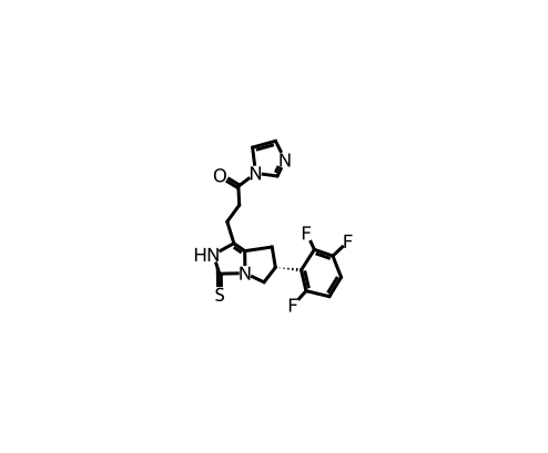 O=C(CCc1[nH]c(=S)n2c1C[C@H](c1c(F)ccc(F)c1F)C2)n1ccnc1